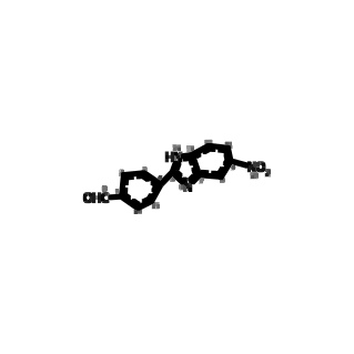 O=Cc1ccc(-c2nc3cc([N+](=O)[O-])ccc3[nH]2)cc1